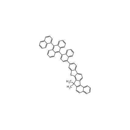 CC1(C)c2ccc3ccccc3c2-c2ccc3c(sc4cc(-c5ccc(-c6c7ccccc7c(-c7cccc8ccccc78)c7ccccc67)c6ccccc56)ccc43)c21